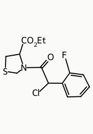 CCOC(=O)C1CSCN1C(=O)C(Cl)c1ccccc1F